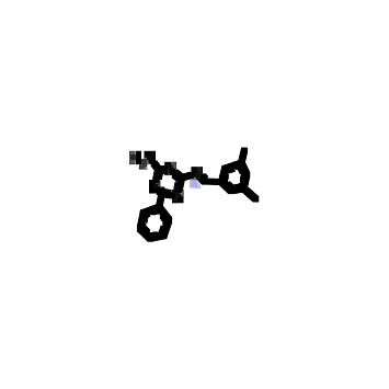 Cc1cc(C)cc(/C=N/c2nc(N)nc(-c3ccccc3)n2)c1